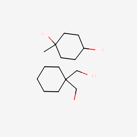 CC1(O)CCC(O)CC1.OCC1(CO)CCCCC1